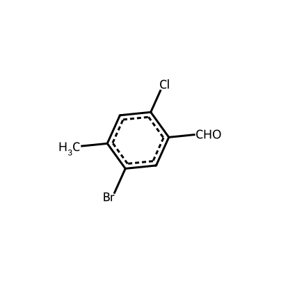 Cc1cc(Cl)c(C=O)cc1Br